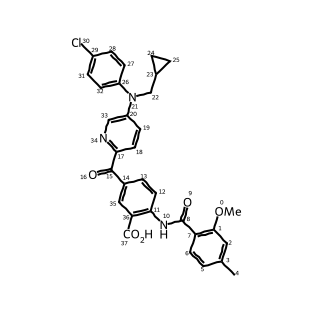 COc1cc(C)ccc1C(=O)Nc1ccc(C(=O)c2ccc(N(CC3CC3)c3ccc(Cl)cc3)cn2)cc1C(=O)O